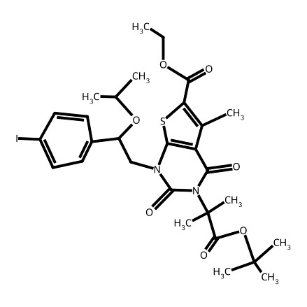 CCOC(=O)c1sc2c(c1C)c(=O)n(C(C)(C)C(=O)OC(C)(C)C)c(=O)n2CC(OC(C)C)c1ccc(I)cc1